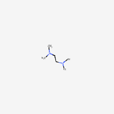 CCN(CCN(C)C)C(C)C